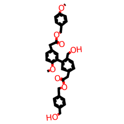 COc1ccc(COC(=O)Cc2ccc(OC)c(-c3cc(CC(=O)OCc4ccc(CO)cc4)ccc3CO)c2)cc1